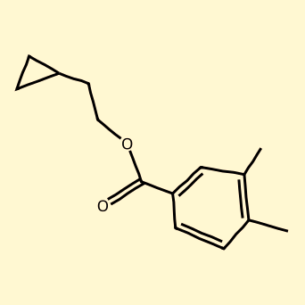 Cc1ccc(C(=O)OCCC2CC2)cc1C